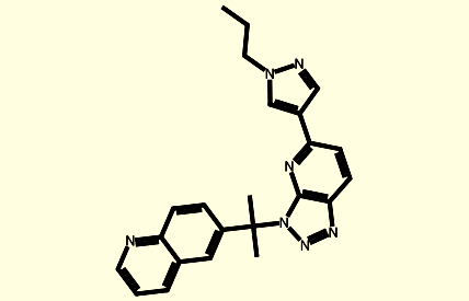 CCCn1cc(-c2ccc3nnn(C(C)(C)c4ccc5ncccc5c4)c3n2)cn1